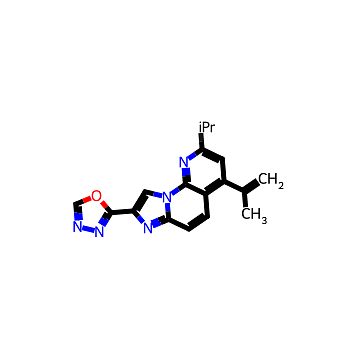 C=C(C)c1cc(C(C)C)nc2c1ccc1nc(-c3nnco3)cn12